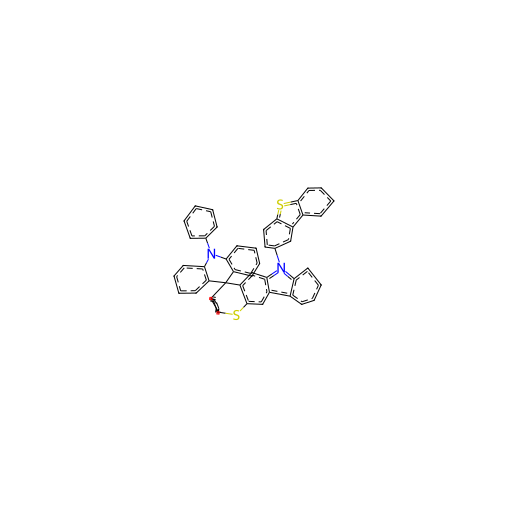 c1ccc(N2c3ccccc3C3(c4ccccc4Sc4cc5c6ccccc6n(-c6ccc7sc8ccccc8c7c6)c5cc43)c3ccccc32)cc1